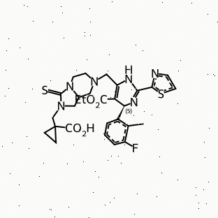 CCOC(=O)C1=C(CN2CCN3C(=S)N(CC4(C(=O)O)CC4)CC3C2)NC(c2nccs2)=N[C@H]1c1cccc(F)c1C